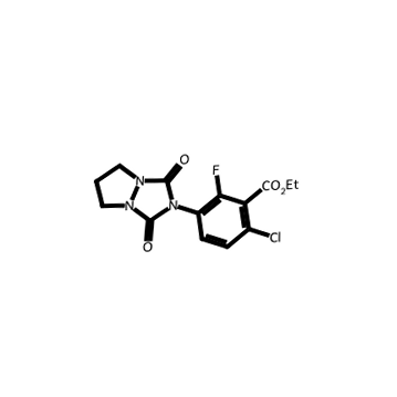 CCOC(=O)c1c(Cl)ccc(-n2c(=O)n3n(c2=O)CCC3)c1F